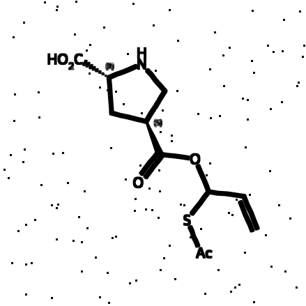 C=CC(OC(=O)[C@@H]1CN[C@@H](C(=O)O)C1)SC(C)=O